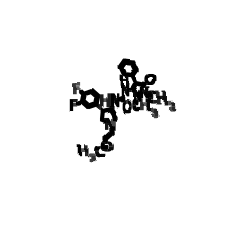 COCCN1C[C@@H](NC(=O)Nc2c(-c3ccccc3)c(=O)n(C)n2C)[C@H](c2ccc(F)c(F)c2)C1